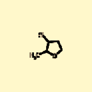 CC1OCCC1Cl